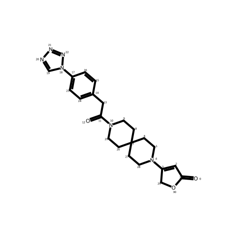 O=C1C=C(N2CCC3(CCN(C(=O)Cc4ccc(-n5cnnn5)cc4)CC3)CC2)CO1